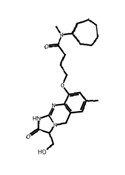 Cc1cc2c(c(OCCCC(=O)N(C)C3CCCCCC3)c1)N=C1NC(=O)C(CO)N1C2